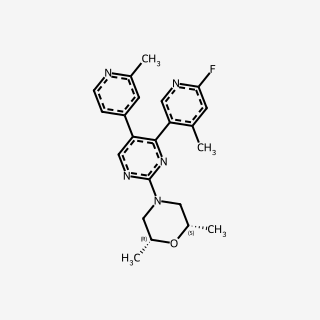 Cc1cc(-c2cnc(N3C[C@@H](C)O[C@@H](C)C3)nc2-c2cnc(F)cc2C)ccn1